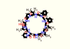 CC[C@H](C)[C@@H]1NC(=O)[C@H](Cc2ccccc2)N(C)C(=O)[C@H](Cc2ccccc2)NC(=O)[C@H](CC(C)C)N(C)C(=O)[C@H](CC(C)C)NC(=O)[C@H](C)NC(=O)C[C@@H](C(=O)N2CCCCC2)NC(=O)[C@H](CC(C)C)NC(=O)[C@H]([C@@H](C)O)NC(=O)[C@@H]2CCCN2C1=O